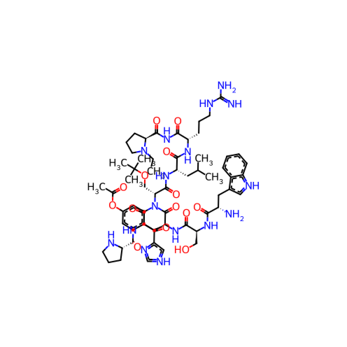 CCN1CCC[C@H]1C(=O)NC(=O)[C@H](CCCNC(=N)N)NC(=O)[C@H](CC(C)C)NC(=O)[C@@H](COC(C)(C)C)N(C(=O)[C@@H](NC(=O)[C@@H]1CCCN1)C(=O)c1c[nH]cn1)C(=O)[C@H](Cc1ccc(OC(C)=O)cc1)NC(=O)[C@H](CO)NC(=O)[C@@H](N)Cc1c[nH]c2ccccc12